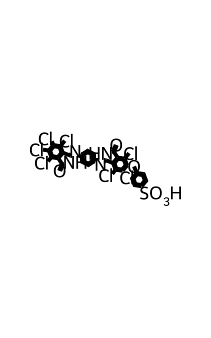 O=C1N/C(=N\c2ccc(/N=C3\NC(=O)c4c(Cl)c(Oc5ccc(S(=O)(=O)O)cc5)c(Cl)c(Cl)c43)cc2)c2c(Cl)c(Cl)c(Cl)c(Cl)c21